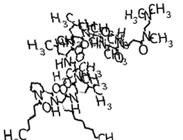 CCCCCCCC[C@H](NC(=O)[C@@H]1CCCN1C(=O)CCCCC)C(=O)N[C@@H](CC(C)C)C(=O)NC(C)(C)C(=O)N[C@@H](CC(C)C)C(=O)N[C@@H](CC(C)C)C(=O)NC(C)(C)C(=O)NC(C)(C)C(=O)NCCC(=O)N(C)CCN(C)C